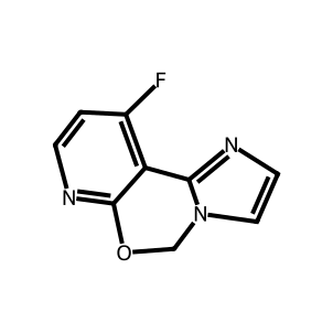 Fc1ccnc2c1-c1nccn1CO2